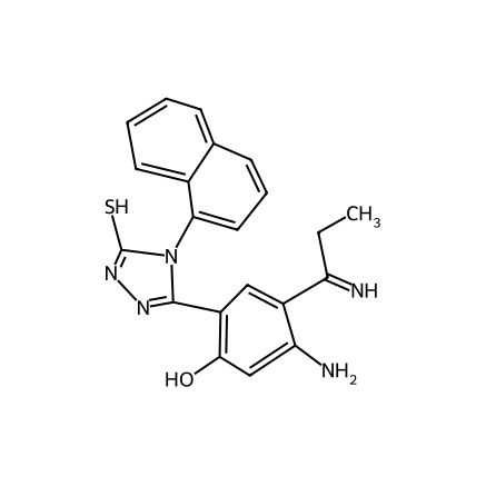 CCC(=N)c1cc(-c2nnc(S)n2-c2cccc3ccccc23)c(O)cc1N